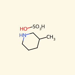 CC1CCCNC1.O=S(=O)(O)O